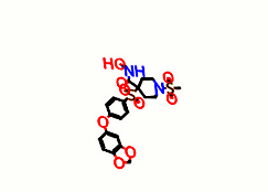 CS(=O)(=O)N1CCC(C(=O)NO)(S(=O)(=O)c2ccc(Oc3ccc4c(c3)OCO4)cc2)CC1